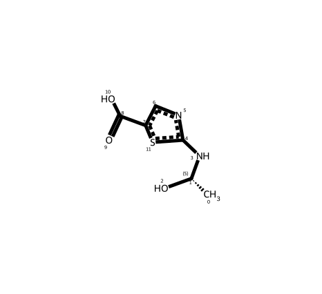 C[C@H](O)Nc1ncc(C(=O)O)s1